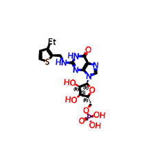 CCc1ccsc1CNc1nc2c(ncn2[C@@H]2O[C@H](COP(=O)(O)O)[C@@H](O)[C@H]2O)c(=O)[nH]1